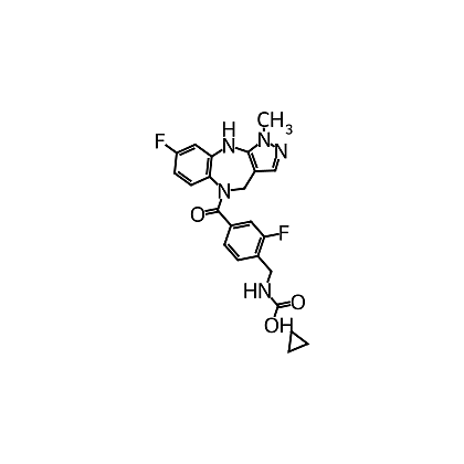 C1CC1.Cn1ncc2c1Nc1cc(F)ccc1N(C(=O)c1ccc(CNC(=O)O)c(F)c1)C2